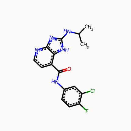 CC(C)Nc1nc2nccc(C(=O)Nc3ccc(F)c(Cl)c3)c2[nH]1